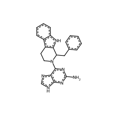 Nc1nc(N2CCc3c([nH]c4ccccc34)C2Cc2ccccc2)c2nc[nH]c2n1